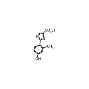 CCOC(=O)c1cnc(-c2ccc(O)cc2C)s1